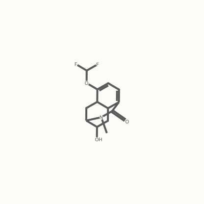 CN1C(=O)C2=CC=C(OC(F)F)C3CC1C(O)CC23